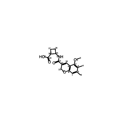 COc1c(C)c(C)cc2c1C=C(C(=O)NC1CCC1C(=O)O)CO2